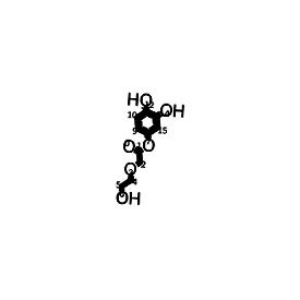 O=C(COCCO)Oc1ccc(O)c(O)c1